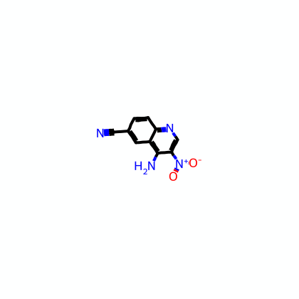 N#Cc1ccc2ncc([N+](=O)[O-])c(N)c2c1